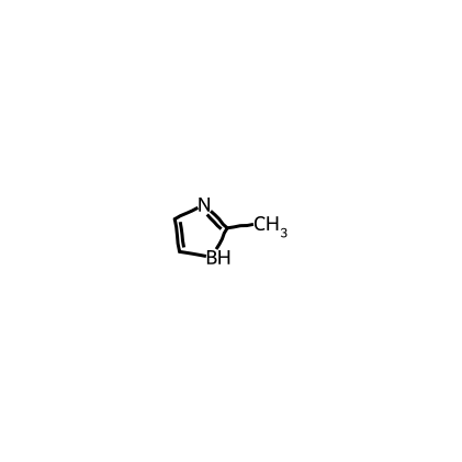 CC1=NC=CB1